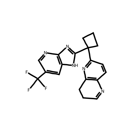 FC(F)(F)c1cnc2nc(C3(c4ccc5c(n4)CCC=N5)CCC3)[nH]c2c1